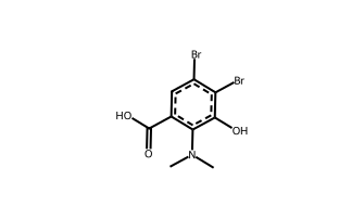 CN(C)c1c(C(=O)O)cc(Br)c(Br)c1O